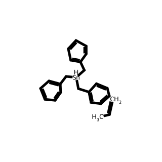 C=CC.c1ccc([CH2][SnH]([CH2]c2ccccc2)[CH2]c2ccccc2)cc1